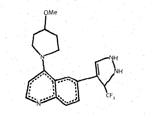 COC1CCN(c2ccnc3ccc(C4=CNNC4C(F)(F)F)cc23)CC1